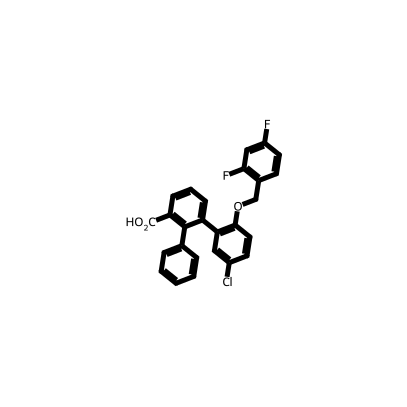 O=C(O)c1cccc(-c2cc(Cl)ccc2OCc2ccc(F)cc2F)c1-c1ccccc1